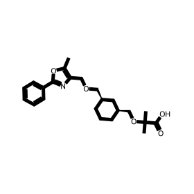 Cc1oc(-c2ccccc2)nc1COC[C@@H]1CCC[C@H](COC(C)(C)C(=O)O)C1